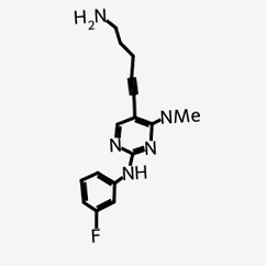 CNc1nc(Nc2cccc(F)c2)ncc1C#CCCCN